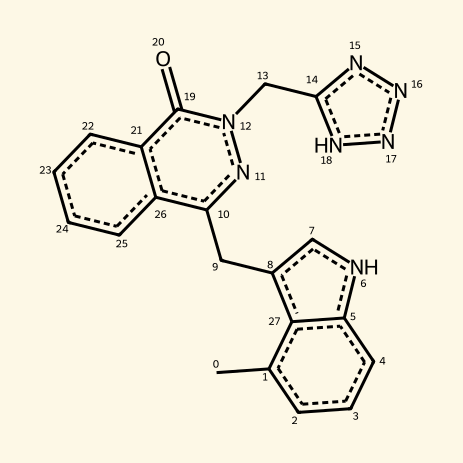 Cc1cccc2[nH]cc(Cc3nn(Cc4nnn[nH]4)c(=O)c4ccccc34)c12